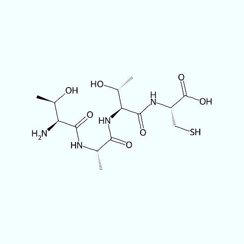 C[C@H](NC(=O)[C@@H](N)[C@@H](C)O)C(=O)N[C@H](C(=O)N[C@@H](CS)C(=O)O)[C@@H](C)O